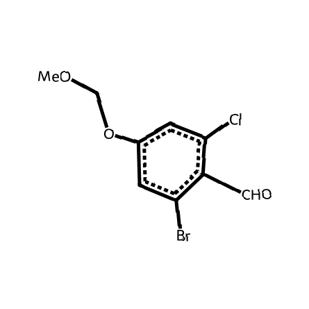 COCOc1cc(Cl)c(C=O)c(Br)c1